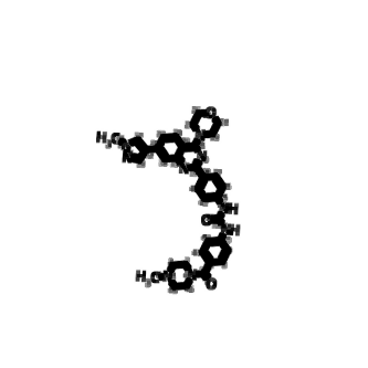 CN1CCN(C(=O)c2ccc(NC(=O)Nc3ccc(-c4nc(N5CCOCC5)c5ccc(-c6cnn(C)c6)cc5n4)cc3)cc2)CC1